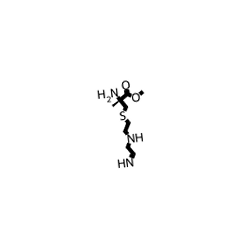 COC(=O)[C@@](C)(N)CSCCNCC=N